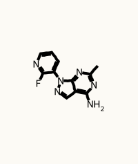 Cc1nc(N)c2cnn(-c3cccnc3F)c2n1